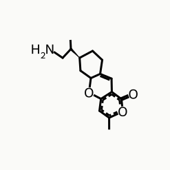 Cc1cc2c(c(=O)o1)C=C1CC[C@H](C(C)CN)CC1O2